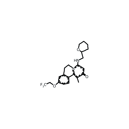 Cc1c2n(c(NCC3CCCCO3)cc1=O)CCc1cc(OCC(F)(F)F)ccc1-2